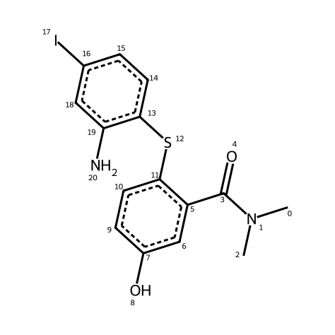 CN(C)C(=O)c1cc(O)ccc1Sc1ccc(I)cc1N